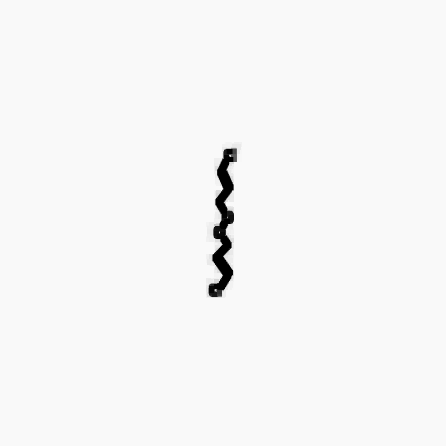 ClC=CCOOCC=CCl